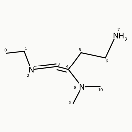 CCN=C=C(CCN)N(C)C